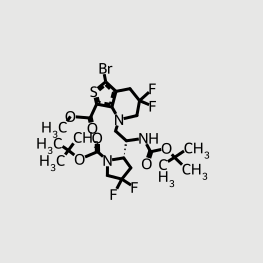 COC(=O)c1sc(Br)c2c1N(CC(NC(=O)OC(C)(C)C)[C@@H]1CC(F)(F)CN1C(=O)OC(C)(C)C)CC(F)(F)C2